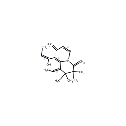 C=C/C=N\N1C(=C)C(C)(C)C(C)(C)C(=C/C)/C1=C\C(O)=C/C